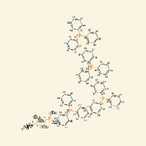 CC(C)(C)P(C(C)(C)C)C(C)(C)C.CC(C)(C)P(C(C)(C)C)C(C)(C)C.[Pd].[Pd].c1ccc(P(c2ccccc2)c2ccccc2)cc1.c1ccc(P(c2ccccc2)c2ccccc2)cc1.c1ccc(P(c2ccccc2)c2ccccc2)cc1.c1ccc(P(c2ccccc2)c2ccccc2)cc1